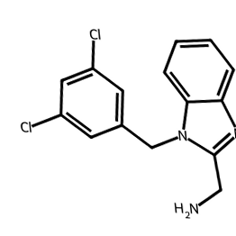 NCc1nc2ccccc2n1Cc1cc(Cl)cc(Cl)c1